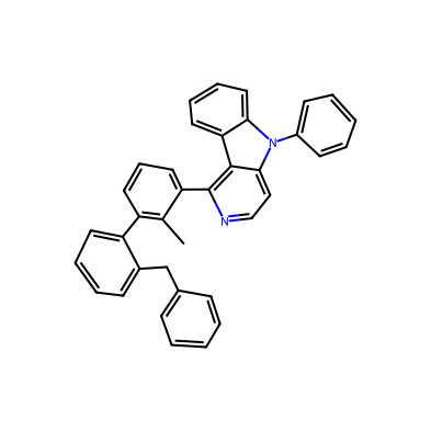 Cc1c(-c2ccccc2Cc2ccccc2)cccc1-c1nccc2c1c1ccccc1n2-c1ccccc1